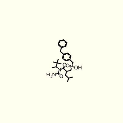 CC(C)CC(CP(=O)(O)Cc1ccc(Cc2ccccc2)cc1)C(=O)N(C(N)=O)C(C)C(C)(C)C